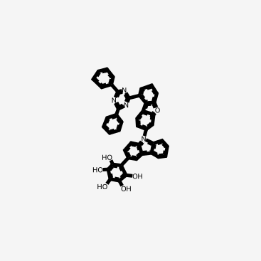 Oc1c(O)c(O)c(-c2ccc3c(c2)c2ccccc2n3-c2ccc3c(c2)oc2cccc(-c4nc(-c5ccccc5)nc(-c5ccccc5)n4)c23)c(O)c1O